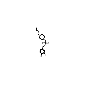 C=CCC[C@H]1CC[C@H](CC(F)(F)OCc2ccc(F)c(F)c2)CC1